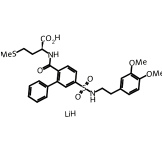 COc1ccc(CCNS(=O)(=O)c2ccc(C(=O)N[C@@H](CCSC)C(=O)O)c(-c3ccccc3)c2)cc1OC.[LiH]